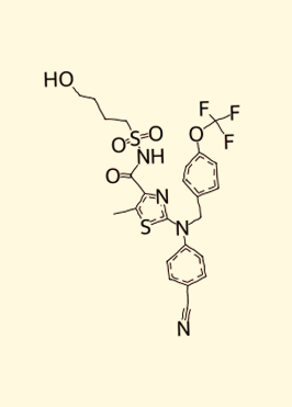 Cc1sc(N(Cc2ccc(OC(F)(F)F)cc2)c2ccc(C#N)cc2)nc1C(=O)NS(=O)(=O)CCCCO